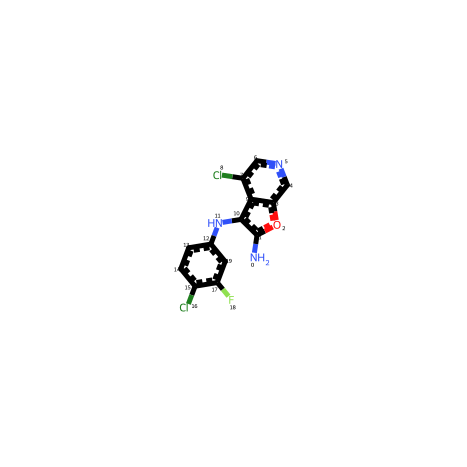 Nc1oc2cncc(Cl)c2c1Nc1ccc(Cl)c(F)c1